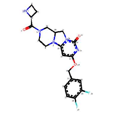 O=C([C@@H]1CCN1)N1CCN2c3cc(OCc4ccc(F)c(F)c4)nc(=O)n3CC2C1